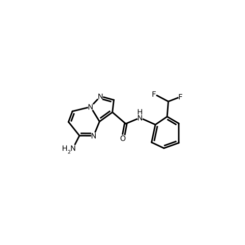 Nc1ccn2ncc(C(=O)Nc3ccccc3C(F)F)c2n1